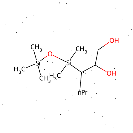 CCC[C](C(O)CO)[Si](C)(C)O[Si](C)(C)C